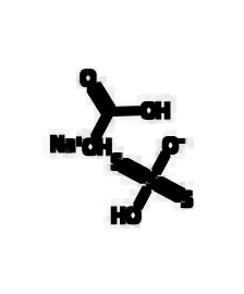 O=C(O)O.[Na+].[O-]S(O)(=S)=S